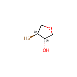 O[C@H]1COC[C@@H]1S